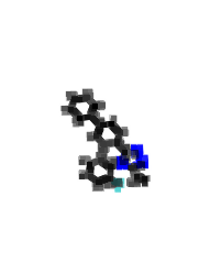 CC(C)c1nnc(-c2ccc(-c3ccccc3)cc2)n1-c1ccccc1F